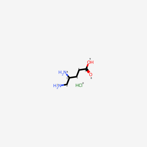 Cl.NCC(N)CCC(=O)O